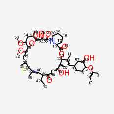 CC=C(C)OC1CCC(C=C(C)C2OC(=O)C3CCCCN3C(=O)C(=O)C3(O)OC(C(OC)CC(C)C(F)/C(C)=C/C(CC)C(=O)CC(O)C2C)C(OC)CC3C)CC1O